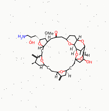 C=C1C[C@@H]2CC[C@]34CC(O)[C@H](O3)C3O[C@H]5CCC(CC(=O)C[C@@H]6[C@@H](OC)[C@@H](C[C@H](O)CN)O[C@H]6C[C@H]6O[C@@H](CC[C@@H]1O2)C[C@@H](C)C6=C)O[C@@H]5[C@H](O4)[C@@H]3C